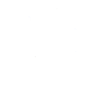 COc1cccc(C(=O)NC2CCN(Cc3ccc4ccc(C(=O)NCc5ccccc5)cc4c3)CC2)c1.Cl